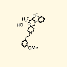 COc1cccc(CCN2CCC3(CC2)CN(c2ccccc2F)C(=O)C(C)O3)c1.Cl